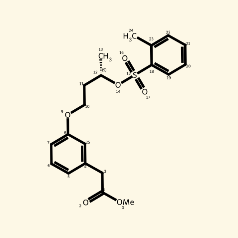 COC(=O)Cc1cccc(OCC[C@H](C)OS(=O)(=O)c2ccccc2C)c1